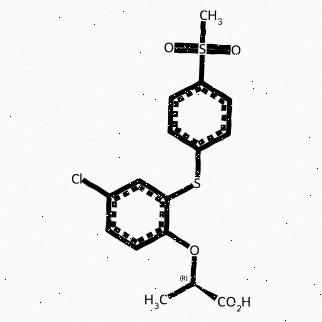 C[C@@H](Oc1ccc(Cl)cc1Sc1ccc(S(C)(=O)=O)cc1)C(=O)O